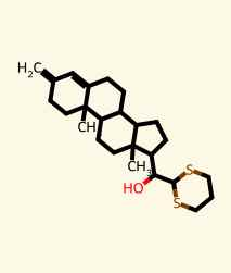 C=C1C=C2CCC3C(CCC4(C)C(C(O)C5SCCCS5)CCC34)C2(C)CC1